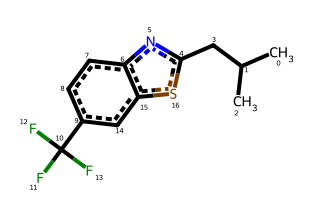 CC(C)Cc1nc2ccc(C(F)(F)F)cc2s1